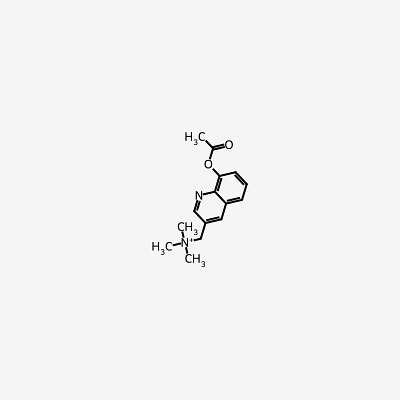 CC(=O)Oc1cccc2cc(C[N+](C)(C)C)cnc12